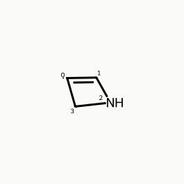 [C]1=CNC1